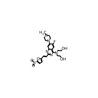 CN1CCN(c2cc3nc(C=Cc4ccc([N+](=O)[O-])o4)nc(N(CCO)CCO)c3cc2F)CC1